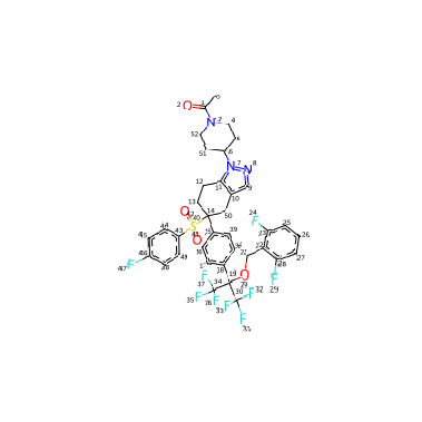 CC(=O)N1CCC(n2ncc3c2CCC(c2ccc(C(OCc4c(F)cccc4F)(C(F)(F)F)C(F)(F)F)cc2)(S(=O)(=O)c2ccc(F)cc2)C3)CC1